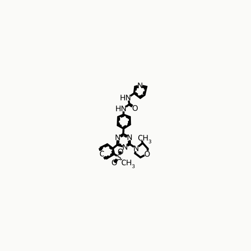 CC1COCCN1c1nc(-c2ccc(NC(=O)Nc3cccnc3)cc2)nc(-c2ccccc2S(C)(=O)=O)n1